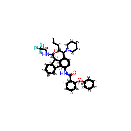 CCCCC(c1ccc(NC(=O)c2ccccc2Oc2ccccc2)c2c1C(C(=O)NCC(F)(F)F)c1ccccc1-2)N1CCCCC1